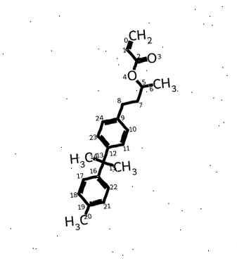 C=CC(=O)OC(C)CCc1ccc(C(C)(C)c2ccc(C)cc2)cc1